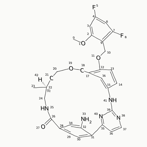 COc1cc(F)cc(F)c1COc1ccc2cc1COCC[C@H](C)CNC(=O)c1ccc(c(N)c1)-c1ccnc(n1)N2